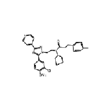 COc1ccc(-c2nc(-c3ccncc3)nn2CCN(C(=O)CCc2ccc(C)cc2)C2CCCC2)cc1Cl